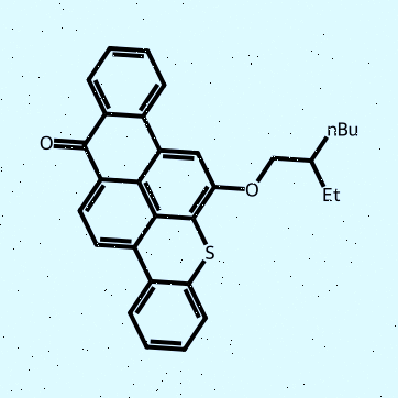 CCCCC(CC)COc1cc2c3ccccc3c(=O)c3ccc4c5ccccc5sc1c4c32